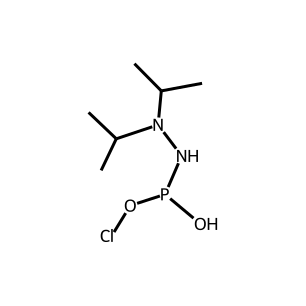 CC(C)N(NP(O)OCl)C(C)C